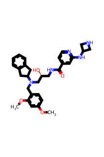 COc1ccc(CN(C[C@H](O)CNC(=O)c2ccnc(NC3CNC3)c2)C2Cc3ccccc3C2)c(OC)c1